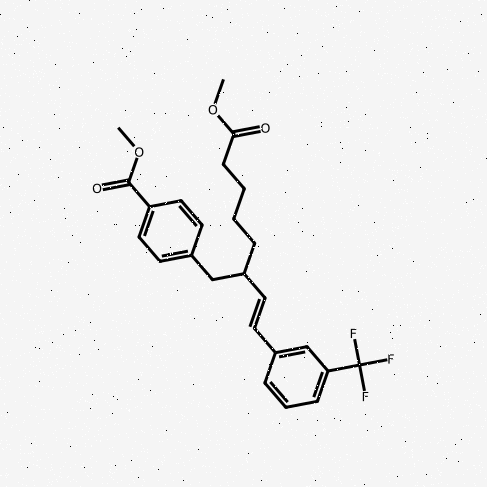 COC(=O)CCCCC(/C=C/c1cccc(C(F)(F)F)c1)Cc1ccc(C(=O)OC)cc1